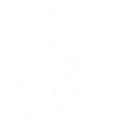 c1ccc(-c2nc(-c3cccc4c3oc3ccccc34)nc(-c3cccc4oc5ccc(-c6cc7c8ccccc8ccc7c7ccccc67)cc5c34)n2)cc1